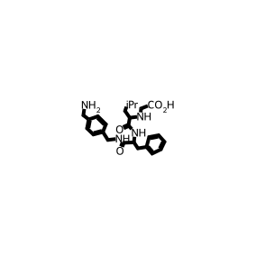 CC(C)CC(NCC(=O)O)C(=O)NC(Cc1ccccc1)C(=O)NCc1ccc(CN)cc1